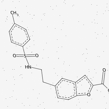 Cc1ccc(S(=O)(=O)NCCc2ccc3oc(C(=O)O)cc3c2)cc1